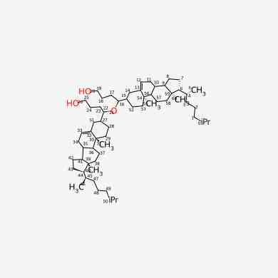 CC(C)CCC[C@@H](C)[C@H]1CCC2C3CC=C4CC(C(CCCO)OC(CCCO)C5CC[C@@]6(C)C(=CCC7C6CC[C@@]6(C)C7CC[C@@H]6[C@H](C)CCCC(C)C)C5)CC[C@]4(C)C3CC[C@@]21C